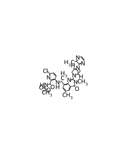 Cc1cc([C@@H](C)Nc2ccc(Cl)nc2C(=O)NS(C)(=O)=O)c2nc(N3C[C@H]4C[C@@H]3CN4c3nccnc3C)n(C)c(=O)c2c1